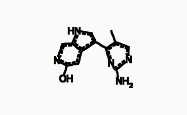 Cc1cnc(N)nc1-c1c[nH]c2cnc(O)cc12